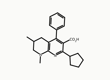 CC1Cc2c(nc(C3CCCC3)c(C(=O)O)c2-c2ccccc2)N(C)C1